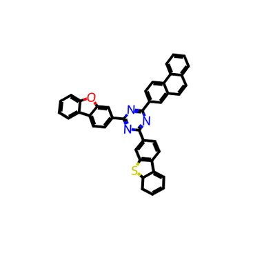 C1=CCC2Sc3cc(-c4nc(-c5ccc6c(ccc7ccccc76)c5)nc(-c5ccc6c(c5)oc5ccccc56)n4)ccc3C2=C1